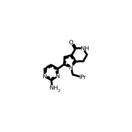 CC(C)Cn1c(-c2ccnc(N)n2)cc2c1CCNC2=O